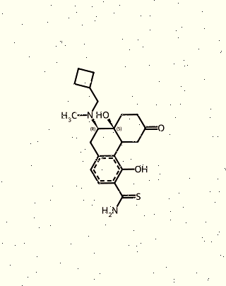 CN(CC1CCC1)[C@@H]1Cc2ccc(C(N)=S)c(O)c2C2CC(=O)CC[C@]21O